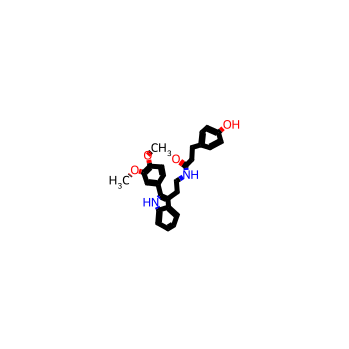 COc1ccc(-c2[nH]c3ccccc3c2CCNC(=O)CCc2ccc(O)cc2)cc1OC